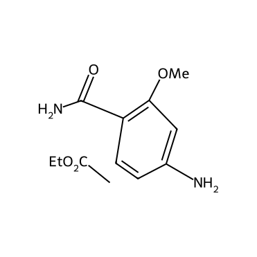 CCOC(C)=O.COc1cc(N)ccc1C(N)=O